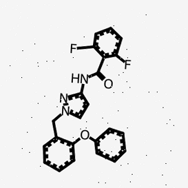 O=C(Nc1ccn(Cc2ccccc2Oc2ccccc2)n1)c1c(F)cccc1F